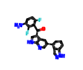 Nc1ccc(F)c(C(=O)c2c[nH]c3ncc(-c4cccc5[nH]ncc45)cc23)c1F